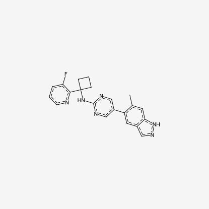 Cc1cc2[nH]ncc2cc1-c1cnc(NC2(c3ncccc3F)CCC2)nc1